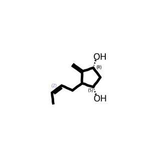 C=C1C(C/C=C\C)[C@@H](O)C[C@H]1O